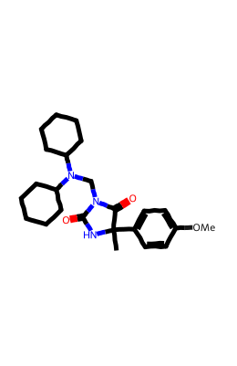 COc1ccc(C2(C)NC(=O)N(CN(C3CCCCC3)C3CCCCC3)C2=O)cc1